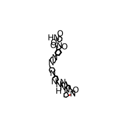 CN(C)C(=O)c1cc2cnc(Nc3ccc(N4CCC(CN5CCN(c6ccc7c(c6)C(=O)N(C6CCC(=O)NC6=O)C7=O)CC5)CC4)cn3)nc2n1C1CCCC1